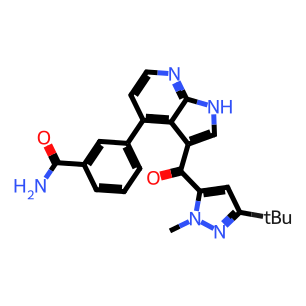 Cn1nc(C(C)(C)C)cc1C(=O)c1c[nH]c2nccc(-c3cccc(C(N)=O)c3)c12